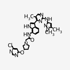 Cc1cnc(Nc2cc(C)n(C)n2)nc1-c1c[nH]c2c(NC(=O)CN3CC[C@H](Oc4cc(Cl)ncn4)C3)cccc12